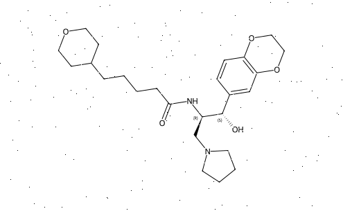 O=C(CCCCC1CCOCC1)N[C@H](CN1CCCC1)[C@@H](O)c1ccc2c(c1)OCCO2